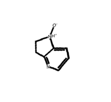 [O-][NH+]1CCc2ncccc21